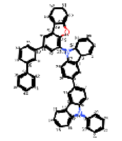 C1=CC2c3cc(-c4ccc5c(c4)c4ccccc4n5-c4ccccc4)ccc3N(c3cc(-c4cccc(-c5ccccc5)c4)cc4c5c(oc34)=CCCC=5)C2C=C1